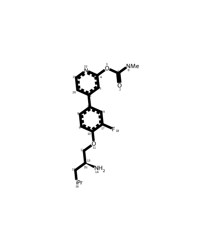 CNC(=O)Oc1cc(-c2ccc(OC[C@@H](N)CC(C)C)c(F)c2)ccn1